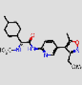 COCc1noc(C)c1-c1ccc(NC(=O)[C@@H](NC(=O)O)C2CCC(C)CC2)nc1